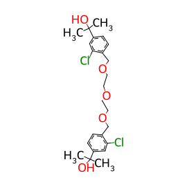 CC(C)(O)c1ccc(COCCOCCOCc2ccc(C(C)(C)O)cc2Cl)c(Cl)c1